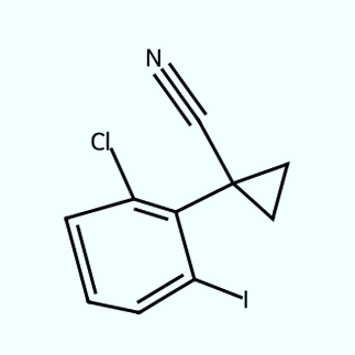 N#CC1(c2c(Cl)cccc2I)CC1